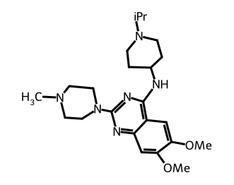 COc1cc2nc(N3CCN(C)CC3)nc(NC3CCN(C(C)C)CC3)c2cc1OC